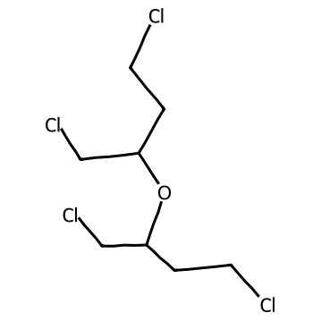 ClCCC(CCl)OC(CCl)CCCl